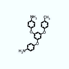 Cc1ccc(Oc2cc(Oc3ccc(N)cc3)cc(Oc3ccc(N)cc3)c2)cc1